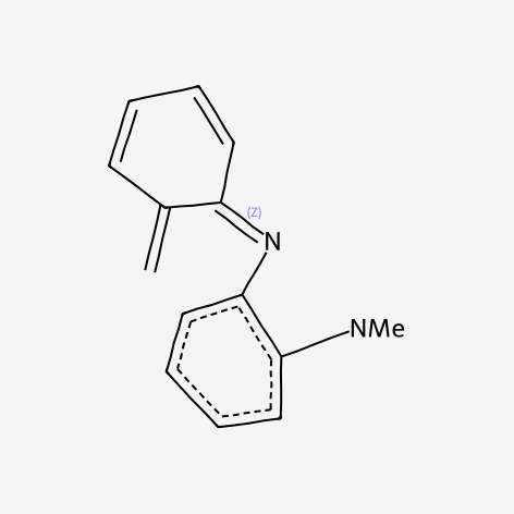 C=C1C=CC=C/C1=N/c1ccccc1NC